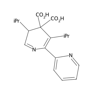 CC(C)C1=C(c2ccccn2)N=CC(C(C)C)C1(C(=O)O)C(=O)O